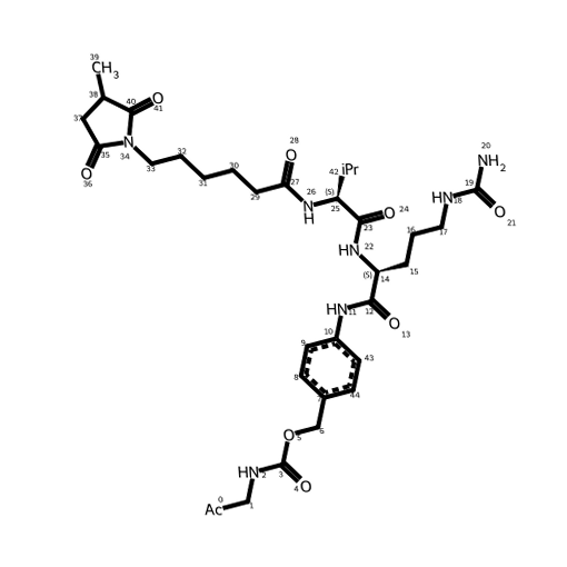 CC(=O)CNC(=O)OCc1ccc(NC(=O)[C@H](CCCNC(N)=O)NC(=O)[C@@H](NC(=O)CCCCCN2C(=O)CC(C)C2=O)C(C)C)cc1